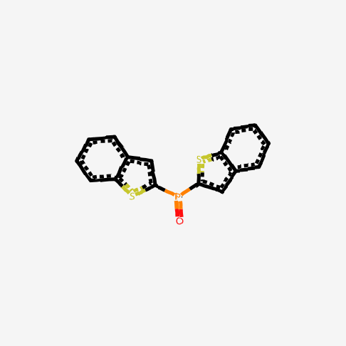 O=[P](c1cc2ccccc2s1)c1cc2ccccc2s1